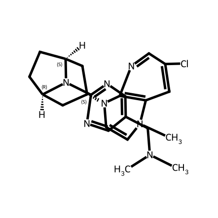 CN(C)Cc1cnc(N2[C@@H]3CC[C@H]2C[C@H](N2C=CN(C)c4cc(Cl)cnc42)C3)nc1